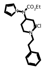 CCOC(=O)N(C1CCN(CCc2ccccc2)CC1)n1cccc1.Cl